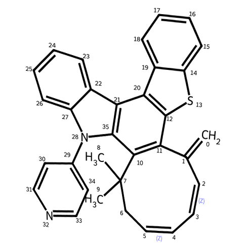 C=C1/C=C\C=C/CC(C)(C)c2c1c1sc3ccccc3c1c1c3ccccc3n(-c3ccncc3)c21